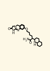 NC(=O)C(CCCCOc1ccc2c(c1)N=C1NC(=O)CN1C2)C1CCC2CCCCC2N1